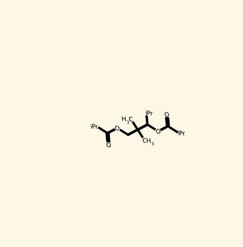 CC(C)C(=O)OCC(C)(C)C(OC(=O)C(C)C)C(C)C